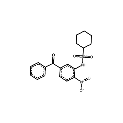 O=C(c1ccccc1)c1ccc([N+](=O)[O-])c(NS(=O)(=O)C2CCCCC2)c1